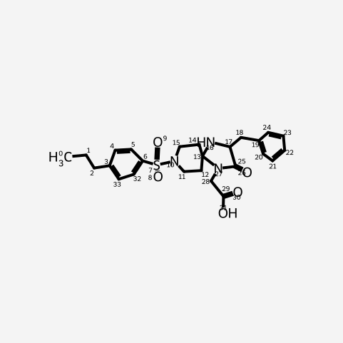 CCCc1ccc(S(=O)(=O)N2CCC3(CC2)NC(Cc2ccccc2)C(=O)N3CC(=O)O)cc1